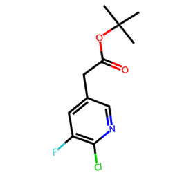 CC(C)(C)OC(=O)Cc1cnc(Cl)c(F)c1